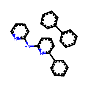 c1ccc(-c2cccc(Nc3ccccn3)n2)cc1.c1ccc(-c2ccccc2)cc1